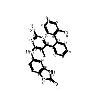 Cc1c(Nc2ccc3oc(=O)[nH]c3c2)nc(N)nc1-c1ccccc1-c1ccncc1Cl